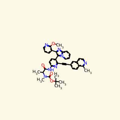 COc1ncccc1-c1nc2ccccn2c1-c1ccc(NC(=O)C(C)N(C)C(=O)OC(C)(C)C)nc1C#Cc1ccc2c(C)nccc2c1